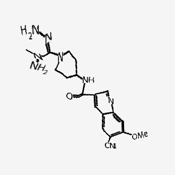 COc1cc2ncc(C(=O)NC3CCN(/C(=N/N)N(C)N)CC3)cc2cc1C#N